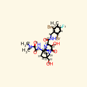 Cc1c(F)cc(Br)c(CNC(=O)c2nc3n(c(=O)c2O)CC2(CO)CCC3(NC(=O)C(=O)N(C)C)CC2)c1Br